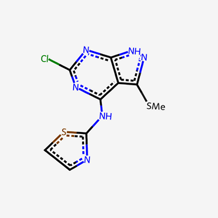 CSc1n[nH]c2nc(Cl)nc(Nc3nccs3)c12